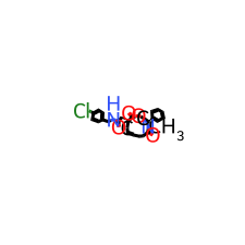 CN1C(=O)CCC=CC[C@@H](CC(=O)NCc2ccc(Cl)cc2)C(=O)OC[C@H]1c1ccccc1